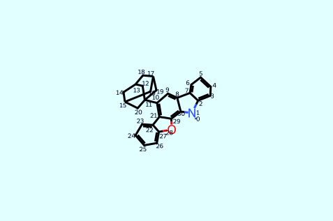 Cn1c2ccccc2c2cc(C34CC5CC(CC(C5)C3)C4)c3c4ccccc4oc3c21